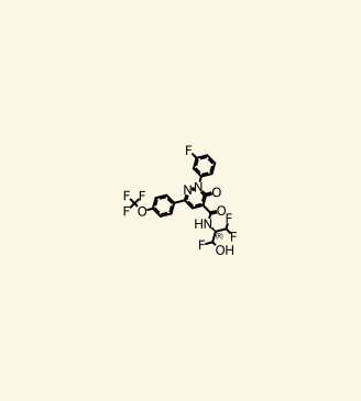 O=C(N[C@H](C(O)F)C(F)F)c1cc(-c2ccc(OC(F)(F)F)cc2)nn(-c2cccc(F)c2)c1=O